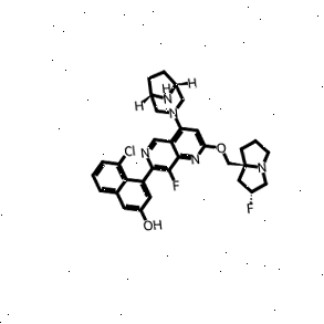 Oc1cc(-c2ncc3c(N4C[C@H]5CC[C@@H](C4)N5)cc(OC[C@@]45CCCN4C[C@H](F)C5)nc3c2F)c2c(Cl)cccc2c1